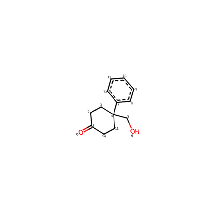 O=C1CCC(CO)(c2ccccc2)CC1